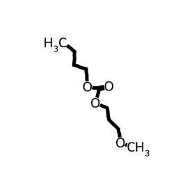 CCCCOC(=O)OCCCOC